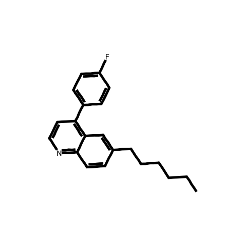 CCCCCCc1ccc2nccc(-c3ccc(F)cc3)c2c1